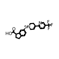 O=C(O)C1CCc2ccc(SN3CC=C(c4ccc(C(F)(F)F)cn4)CC3)cc21